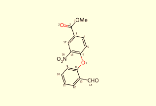 COC(=O)c1ccc(Oc2ccccc2C=O)c([N+](=O)[O-])c1